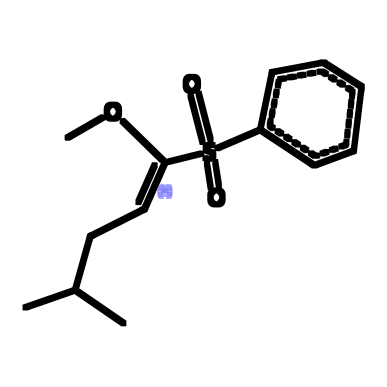 CO/C(=C\CC(C)C)S(=O)(=O)c1ccccc1